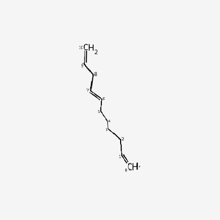 [CH]=CCCCCC=CCC=C